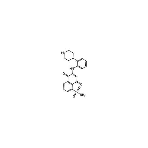 NS(=O)(=O)c1cccc2c1C(=O)C=C(Nc1ccccc1C1CCNCC1)C2=O